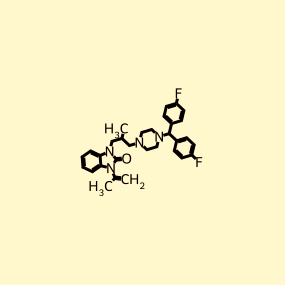 C=C(C)n1c(=O)n(CC(C)CN2CCN(C(c3ccc(F)cc3)c3ccc(F)cc3)CC2)c2ccccc21